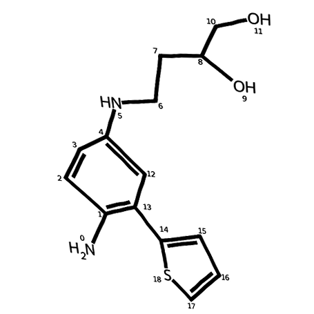 Nc1ccc(NCCC(O)CO)cc1-c1cccs1